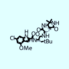 COc1cc(Cl)cc2[nH]c(C(=O)N[C@@H](CC(C)(C)C)C(=O)N[C@@H](C[C@@H]3CC(C)(C)NC3=O)C(N)=O)cc12